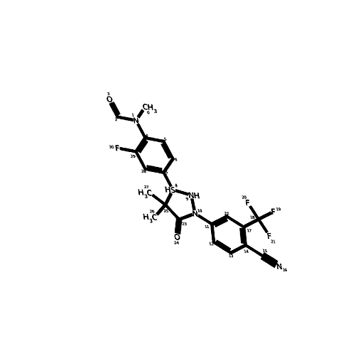 CN(C=O)c1ccc([SH]2NN(c3ccc(C#N)c(C(F)(F)F)c3)C(=O)C2(C)C)cc1F